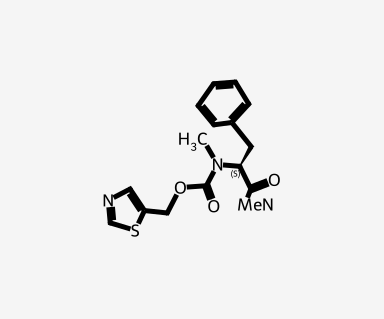 CNC(=O)[C@H](Cc1ccccc1)N(C)C(=O)OCc1cncs1